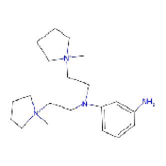 C[N+]1(CCN(CC[N+]2(C)CCCC2)c2cccc(N)c2)CCCC1